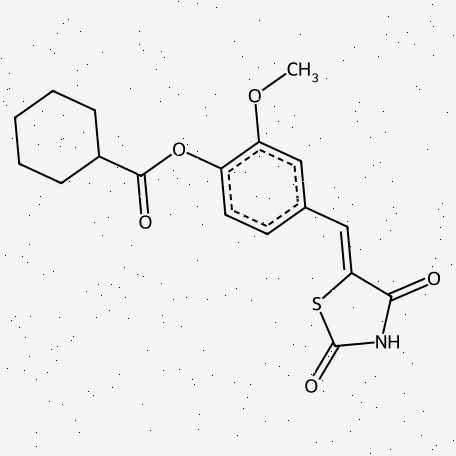 COc1cc(/C=C2\SC(=O)NC2=O)ccc1OC(=O)C1CCCCC1